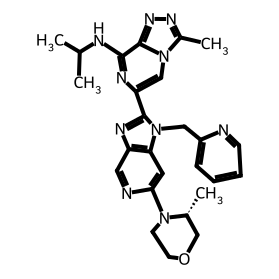 Cc1nnc2c(NC(C)C)nc(-c3nc4cnc(N5CCOC[C@H]5C)cc4n3Cc3ccccn3)cn12